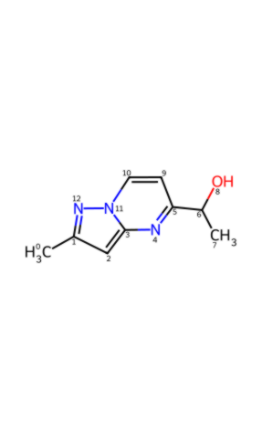 Cc1cc2nc(C(C)O)ccn2n1